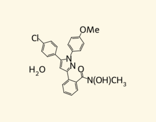 COc1ccc(-n2nc(-c3ccccc3C(=O)N(C)O)cc2-c2ccc(Cl)cc2)cc1.O